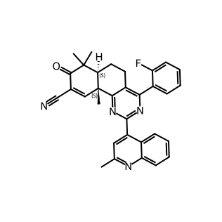 Cc1cc(-c2nc(-c3ccccc3F)c3c(n2)[C@]2(C)C=C(C#N)C(=O)C(C)(C)[C@H]2CC3)c2ccccc2n1